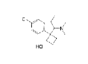 CCC(N(C)C)C1(c2ccc(Cl)cc2)CCC1.Cl